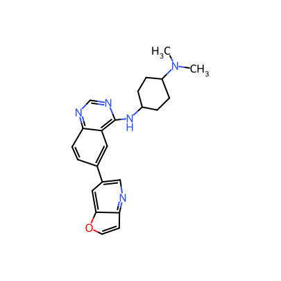 CN(C)C1CCC(Nc2ncnc3ccc(-c4cnc5ccoc5c4)cc23)CC1